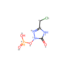 O=c1[nH]c(CCl)nn1O[PH](=O)O